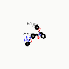 COc1cc(CC(=O)N2C3CCCCC3C[C@H]2COc2ccc(C(=O)O)cc2)ccc1NC(=O)Nc1ccccc1C